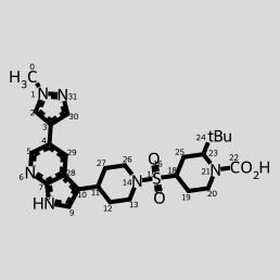 Cn1cc(-c2cnc3[nH]cc(C4CCN(S(=O)(=O)C5CCN(C(=O)O)C(C(C)(C)C)C5)CC4)c3c2)cn1